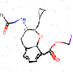 CCC(=O)N[C@H]1CC2C=CC=C(C(=O)OCI)C2OB1C1CC1